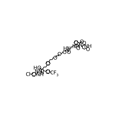 O=C(COCCOCCOCCCc1ccc(CCc2c(-c3ccc(C(F)(F)F)cc3)nn(-c3nc4cc(Cl)ccc4[nH]3)c2O)cc1)NCCNc1cccc2c1C(=O)N(C1CCC(=O)NC1=O)C2=O